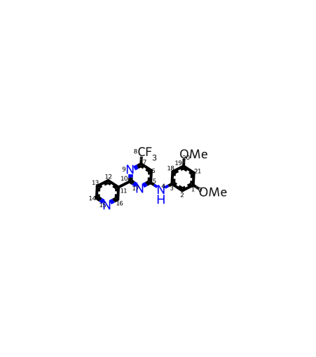 COc1cc(Nc2cc(C(F)(F)F)nc(-c3cccnc3)n2)cc(OC)c1